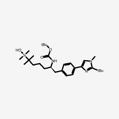 Cn1cc(-c2ccc(C[C@@H](CCCC(C)(C)[Si](C)(C)O)NC(=O)OC(C)(C)C)cc2)nc1C(C)(C)C